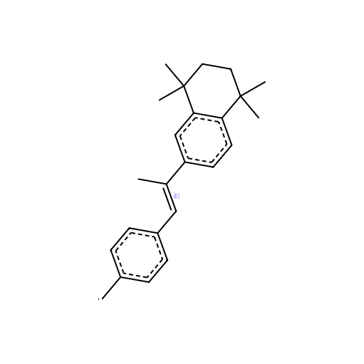 [CH2]c1ccc(/C=C(\C)c2ccc3c(c2)C(C)(C)CCC3(C)C)cc1